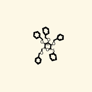 c1ccc(COC[C@H]2O[C@@H](Sc3ccccc3)[C@H](OCc3ccccc3)[C@H](OCc3ccccc3)[C@@H]2OCc2ccccc2)cc1